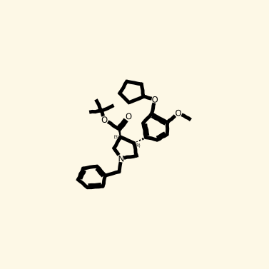 COc1ccc([C@@H]2CN(Cc3ccccc3)C[C@H]2C(=O)OC(C)(C)C)cc1OC1CCCC1